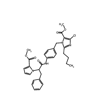 CCCCc1nc(Cl)c(C(=O)OC)n1Cc1ccc(NC(=O)C(Cc2ccccc2)n2cccc2C(=O)OC)cc1